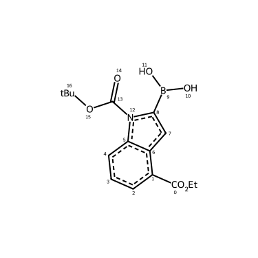 CCOC(=O)c1cccc2c1cc(B(O)O)n2C(=O)OC(C)(C)C